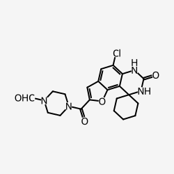 O=CN1CCN(C(=O)c2cc3cc(Cl)c4c(c3o2)C2(CCCCC2)NC(=O)N4)CC1